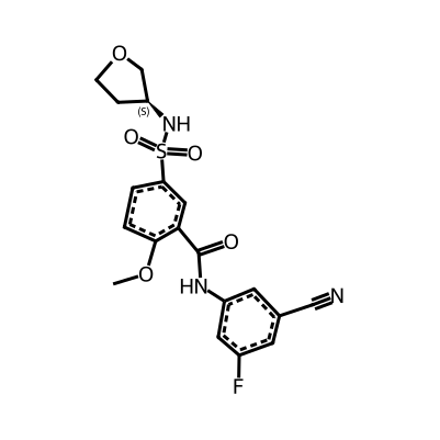 COc1ccc(S(=O)(=O)N[C@H]2CCOC2)cc1C(=O)Nc1cc(F)cc(C#N)c1